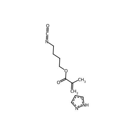 C=C(C)C(=O)OCCCCN=C=O.c1cn[nH]c1